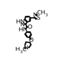 Cc1nc(-c2ccc3[nH]nc(C(=O)Nc4ccc(OC5CCN(C)CC5)cc4)c3c2)cs1